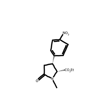 CCOC(=O)[C@H]1[C@@H](c2ccc([N+](=O)[O-])cc2)CC(=O)N1C